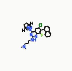 CN(C)CCCNc1nc(N2C[C@H]3CC[C@@H](C2)N3)c2cc(Cl)c(-c3cccc4ccccc34)c(F)c2n1